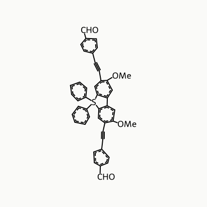 COc1cc2c(cc1C#Cc1ccc(C=O)cc1)S(c1ccccc1)(c1ccccc1)c1cc(C#Cc3ccc(C=O)cc3)c(OC)cc1-2